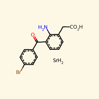 Nc1c(CC(=O)O)cccc1C(=O)c1ccc(Br)cc1.[SrH2]